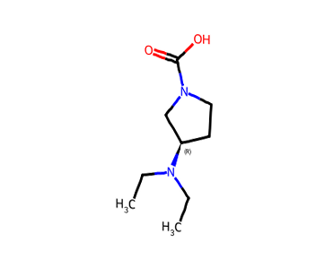 CCN(CC)[C@@H]1CCN(C(=O)O)C1